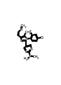 C=N/C=C\c1nc(-c2cnc(N(C)C)nc2)n(-c2ccc(Cl)cc2F)c1C